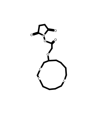 O=C(COC1CCCCCCCCCCCCC1)ON1C(=O)CCC1=O